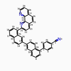 N#Cc1ccc(-c2cccc3cc(-c4ccc5cccc(-c6ccc7ccc8cccnc8c7n6)c5c4)ccc23)cc1